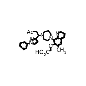 CC(=O)CC(c1ccn(-c2ccccc2)n1)N1CCCN(c2c(OCC(=O)O)c(C)cc3cccnc23)CC1